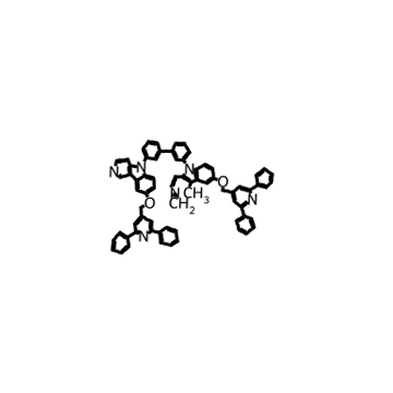 C=N/C=C\c1c(C)c2cc(OCc3cc(-c4ccccc4)nc(-c4ccccc4)c3)ccc2n1-c1cccc(-c2cccc(-n3c4ccncc4c4cc(OCc5cc(-c6ccccc6)nc(-c6ccccc6)c5)ccc43)c2)c1